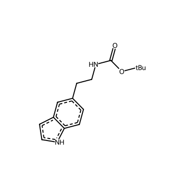 CC(C)(C)OC(=O)NCCc1ccc2[nH]ccc2c1